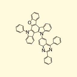 c1ccc(-c2nc(-c3ccccc3)c3cc(-n4c5ccccc5c5c6c7ccccc7oc6c6c(c7ccccc7n6-c6ccccc6)c54)ccc3n2)cc1